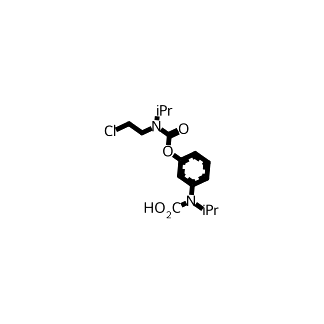 CC(C)N(CCCl)C(=O)Oc1cccc(N(C(=O)O)C(C)C)c1